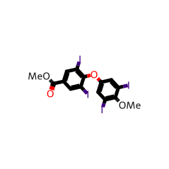 COC(=O)c1cc(I)c(Oc2cc(I)c(OC)c(I)c2)c(I)c1